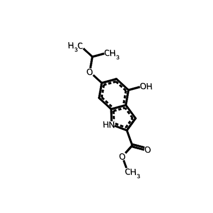 COC(=O)c1cc2c(O)cc(OC(C)C)cc2[nH]1